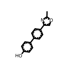 Cc1nc(-c2ccc(-c3ccc(O)cc3)cc2)co1